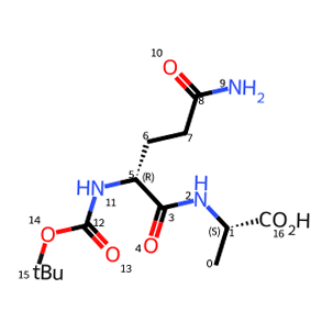 C[C@H](NC(=O)[C@@H](CCC(N)=O)NC(=O)OC(C)(C)C)C(=O)O